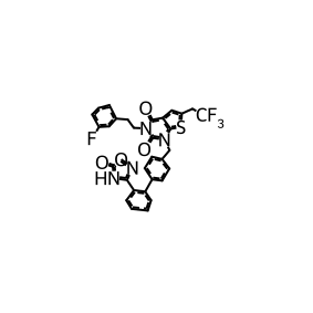 O=c1[nH]c(-c2ccccc2-c2ccc(Cn3c(=O)n(CCc4cccc(F)c4)c(=O)c4cc(CC(F)(F)F)sc43)cc2)no1